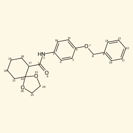 O=C(Nc1ccc(OCc2ccccc2)cc1)C1CCCCC12OCCO2